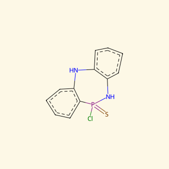 S=P1(Cl)Nc2ccccc2Nc2ccccc21